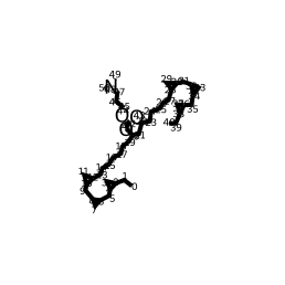 CCC1CC1CC1CC1CC1CC1CCCCCCCC(CCCCCCCC1CC1CC1CC1CC1CC1CC)OC(=O)OCCCN(C)C